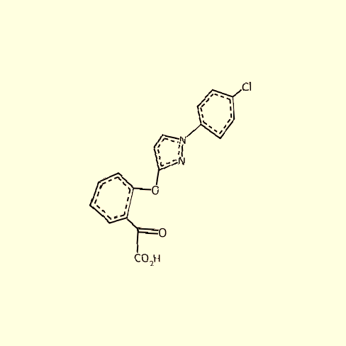 O=C(O)C(=O)c1ccccc1Oc1ccn(-c2ccc(Cl)cc2)n1